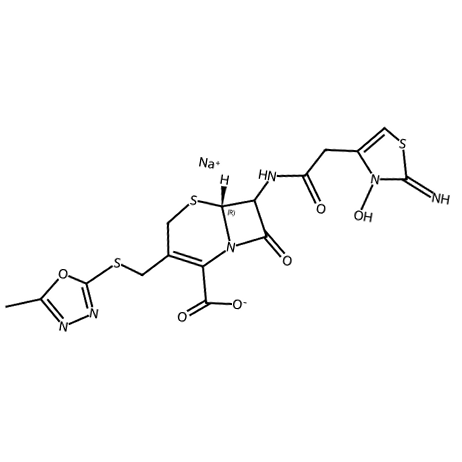 Cc1nnc(SCC2=C(C(=O)[O-])N3C(=O)C(NC(=O)Cc4csc(=N)n4O)[C@H]3SC2)o1.[Na+]